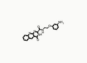 Nc1cccc(OCCNC(=O)c2nc3nc4ccccc4cc3c(=O)[nH]2)c1